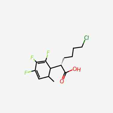 CC1C=C(F)C(F)=C(F)C1[C@H](CCCCCl)C(=O)O